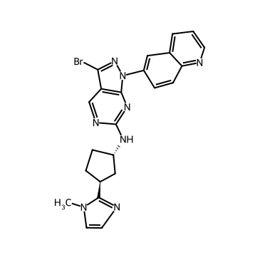 Cn1ccnc1[C@H]1CC[C@H](Nc2ncc3c(Br)nn(-c4ccc5ncccc5c4)c3n2)C1